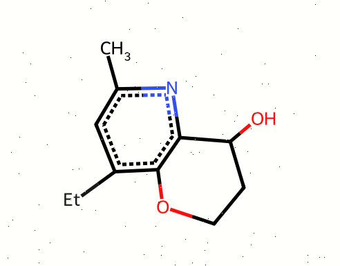 CCc1cc(C)nc2c1OCCC2O